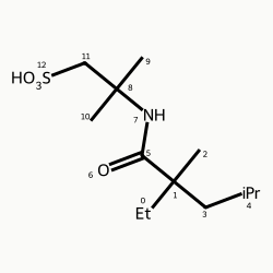 CCC(C)(CC(C)C)C(=O)NC(C)(C)CS(=O)(=O)O